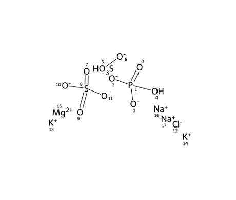 O=P([O-])([O-])O.O=S(=O)([O-])O.O=S(=O)([O-])[O-].[Cl-].[K+].[K+].[Mg+2].[Na+].[Na+]